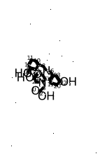 O=C(O)CN(CCN(Cc1cccc(O)c1)Cc1cccc(O)c1)CC(=O)O